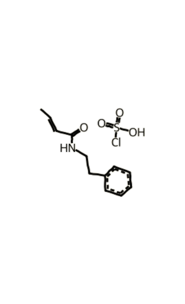 CC=CC(=O)NCCc1ccccc1.O=S(=O)(O)Cl